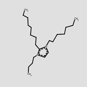 CCCCCCCCc1n(CCCC)cc[n+]1CCCCCCC